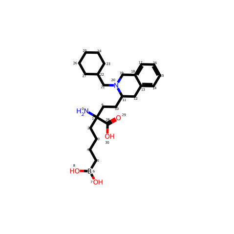 NC(CCCCB(O)O)(CCC1Cc2ccccc2CN1CC1CCCCC1)C(=O)O